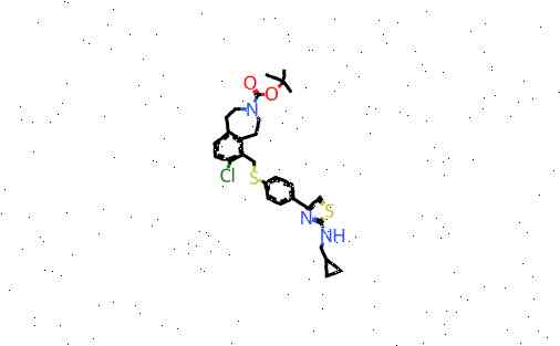 CC(C)(C)OC(=O)N1CCc2ccc(Cl)c(CSc3ccc(-c4csc(NCC5CC5)n4)cc3)c2CC1